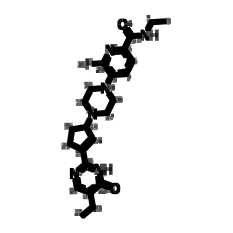 CCNC(=O)c1ccc(N2CCN(C3C=C(c4ncc(CC)c(=O)[nH]4)CC3)CC2)c(F)n1